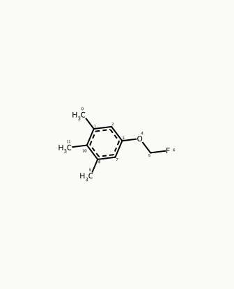 Cc1cc(OCF)cc(C)c1C